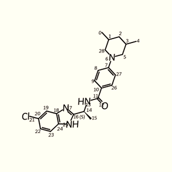 CC1CC(C)CN(c2ccc(C(=O)N[C@@H](C)c3nc4cc(Cl)ccc4[nH]3)cc2)C1